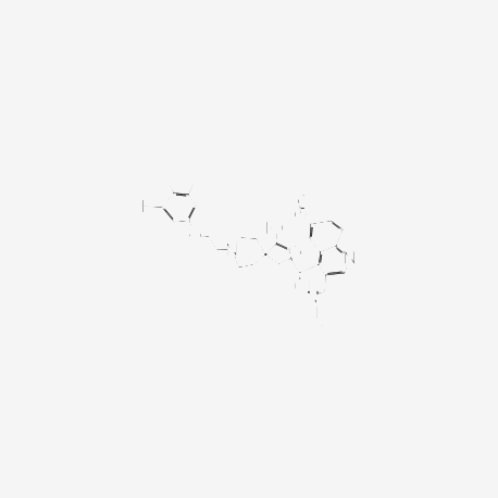 COc1ccc2ncc(CN)c([C@@H](O)CCC3(C(=O)O)CCN(CCOc4cc(F)c(F)c(F)c4)CC3)c2c1